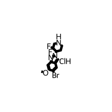 COc1cc2nn(C3CCNCC3(F)F)cc2cc1Br.Cl